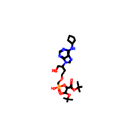 CC(C)(C)OC(=O)C(OP(=O)(O)COCCC(CO)n1cnc2c(NC3CCCC3)ncnc21)C(=O)OC(C)(C)C